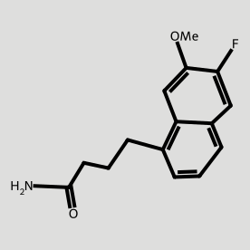 COc1cc2c(CCCC(N)=O)cccc2cc1F